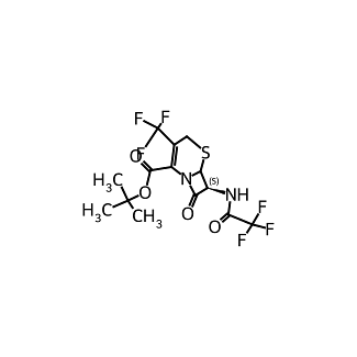 CC(C)(C)OC(=O)C1=C(C(F)(F)F)CSC2[C@@H](NC(=O)C(F)(F)F)C(=O)N12